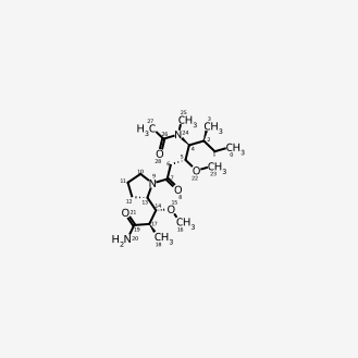 CC[C@H](C)[C@@H]([C@@H](CC(=O)N1CCC[C@H]1[C@H](OC)[C@@H](C)C(N)=O)OC)N(C)C(C)=O